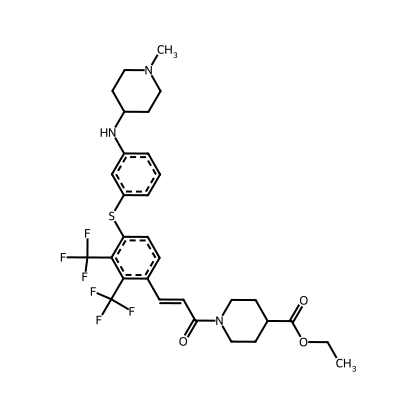 CCOC(=O)C1CCN(C(=O)C=Cc2ccc(Sc3cccc(NC4CCN(C)CC4)c3)c(C(F)(F)F)c2C(F)(F)F)CC1